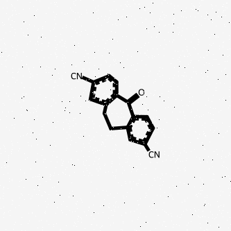 [C-]#[N+]c1ccc2c(c1)CCc1cc(C#N)ccc1C2=O